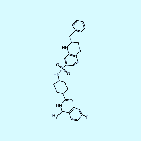 C[C@@H](NC(=O)C1CCC(NS(=O)(=O)c2cnc3c(c2)N[C@H](Cc2ccccc2)CS3)CC1)c1ccc(F)cc1